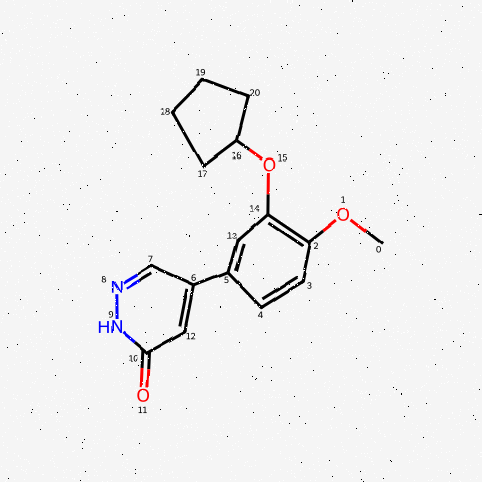 COc1ccc(-c2cn[nH]c(=O)c2)cc1OC1CCCC1